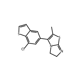 CC1=C(c2cc(Cl)c3sccc3c2)N2CCN=C2S1